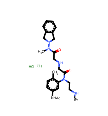 CC(=O)Nc1ccc(C)c(N(CCNC(C)C)C(=O)CNCC(=O)N(C)N2Cc3ccccc3C2)c1.Cl.Cl